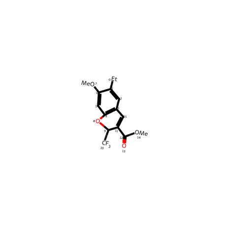 CCc1cc2c(cc1OC)OC(C(F)(F)F)C(C(=O)OC)=C2